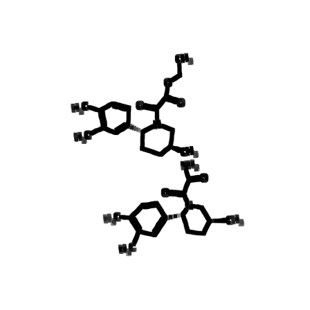 CCOC(=O)C(=O)N1C[C@@H](C)CC[C@@H]1c1ccc(C)c(C)c1.Cc1ccc([C@H]2CC[C@H](C)CN2C(=O)C(N)=O)cc1C